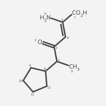 CC(C(=O)C=C(N)C(=O)O)C1CCCC1